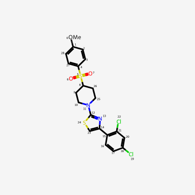 COc1ccc(S(=O)(=O)C2CCN(c3nc(-c4ccc(Cl)cc4Cl)cs3)CC2)cc1